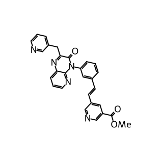 COC(=O)c1cncc(C=Cc2cccc(-n3c(=O)c(Cc4cccnc4)nc4cccnc43)c2)c1